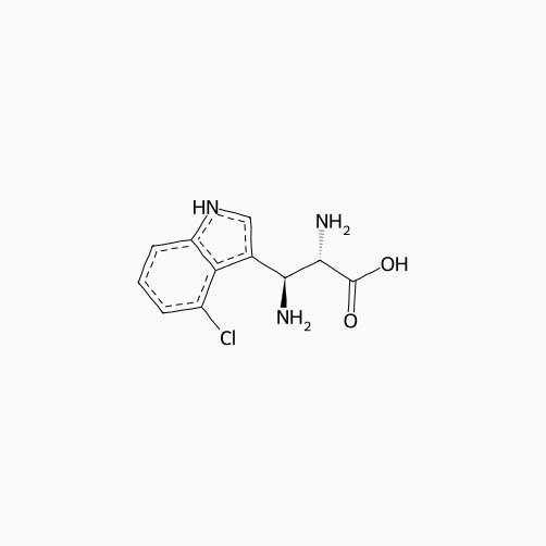 N[C@H](C(=O)O)[C@@H](N)c1c[nH]c2cccc(Cl)c12